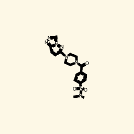 CN(C)S(=O)(=O)c1ccc(C(=O)N2CCN(c3ccc4nncn4n3)CC2)cc1